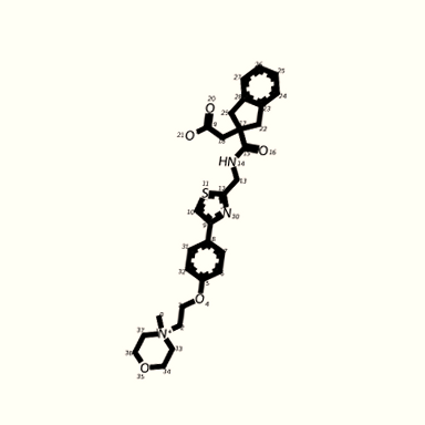 C[N+]1(CCOc2ccc(-c3csc(CNC(=O)C4(CC(=O)[O-])Cc5ccccc5C4)n3)cc2)CCOCC1